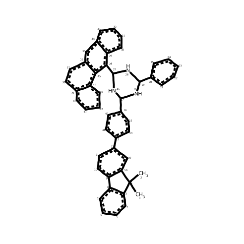 CC1(C)c2ccccc2-c2ccc(-c3ccc(C4NC(c5ccccc5)NC(c5c6ccccc6cc6ccc7ccccc7c56)N4)cc3)cc21